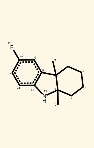 CC12CCCCC1(C)c1cc(F)ccc1N2